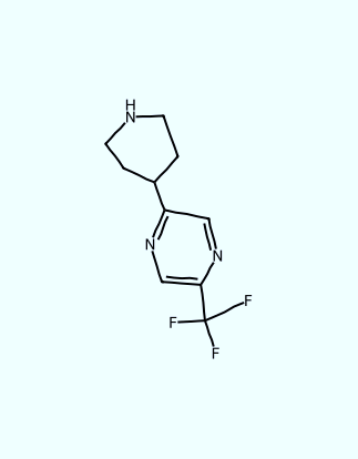 FC(F)(F)c1cnc(C2CCNCC2)cn1